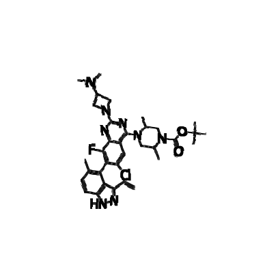 C=Cc1n[nH]c2ccc(C)c(-c3c(Cl)cc4c(N5CC(C)N(C(=O)OC(C)(C)C)CC5C)nc(N5CC(N(C)C)C5)nc4c3F)c12